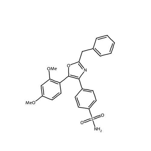 COc1ccc(-c2oc(Cc3ccccc3)nc2-c2ccc(S(N)(=O)=O)cc2)c(OC)c1